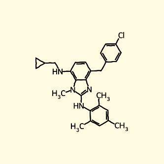 Cc1cc(C)c(Nc2nc3c(Cc4ccc(Cl)cc4)ccc(NCC4CC4)c3n2C)c(C)c1